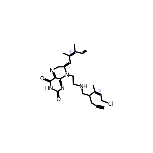 C#CCC(CNCCN1C2=NC(=O)NC(=O)C2=NC/C1=C\C(C)=C(\C)C=C)/C(C)=C\CCl